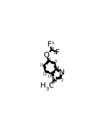 Cn1cnc2cc(OC(F)F)ccc21